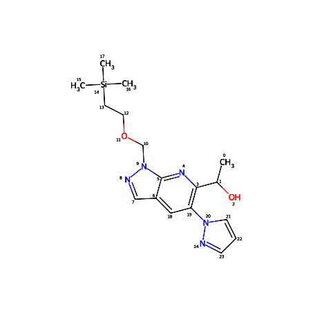 CC(O)c1nc2c(cnn2COCC[Si](C)(C)C)cc1-n1cccn1